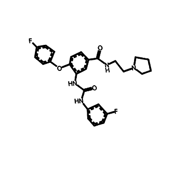 O=C(Nc1cccc(F)c1)Nc1cc(C(=O)NCCN2CCCC2)ccc1Oc1ccc(F)cc1